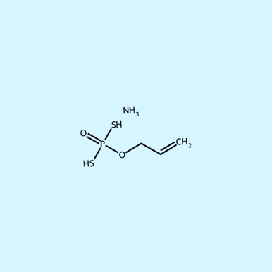 C=CCOP(=O)(S)S.N